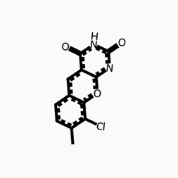 Cc1ccc2cc3c(=O)[nH]c(=O)nc-3oc2c1Cl